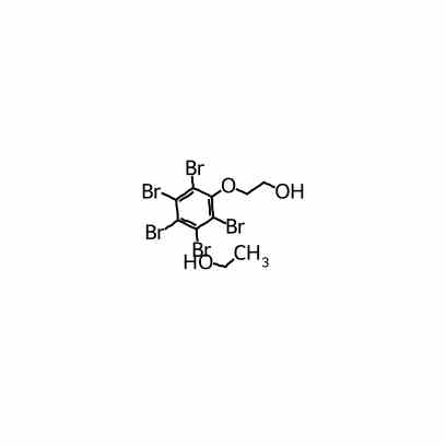 CCO.OCCOc1c(Br)c(Br)c(Br)c(Br)c1Br